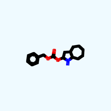 O=C(OCc1ccccc1)OC1CC2CCCCCC2N1